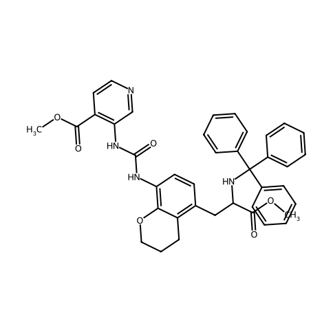 COC(=O)c1ccncc1NC(=O)Nc1ccc(CC(NC(c2ccccc2)(c2ccccc2)c2ccccc2)C(=O)OC)c2c1OCCC2